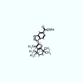 COC(=O)c1ccc2c(c1)nnn2-c1sc2c(c1C)C(C)(C)CCC2(C)C